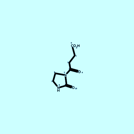 O=C(O)CCC(=O)N1CCNC1=O